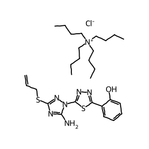 C=CCSc1nc(N)n(-c2nnc(-c3ccccc3O)s2)n1.CCCC[N+](CCCC)(CCCC)CCCC.[Cl-]